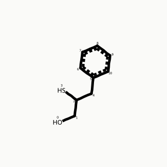 OCC(S)Cc1ccccc1